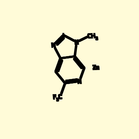 Cn1[c]nc2cc(C(F)(F)F)ncc21.[Zn]